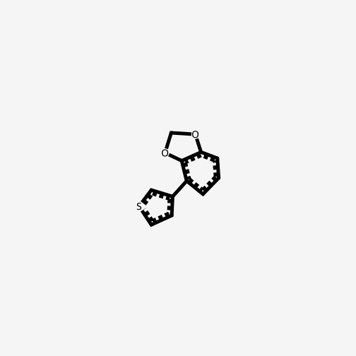 c1cc2c(c(-c3ccsc3)c1)OCO2